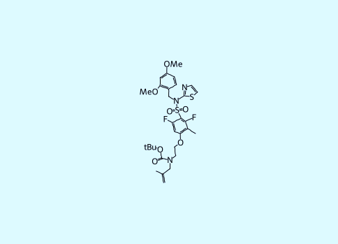 C=C(C)CN(CCOc1cc(F)c(S(=O)(=O)N(Cc2ccc(OC)cc2OC)c2nccs2)c(F)c1C)C(=O)OC(C)(C)C